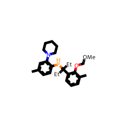 CCC(CC)(Pc1ccc(C)cc1N1CCCCC1)c1cccc(C)c1OCOC